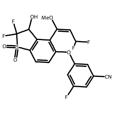 CO/C(=C/C(F)F)c1c(Oc2cc(F)cc(C#N)c2)ccc2c1C(O)C(F)(F)S2(=O)=O